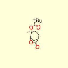 CC(C)(C)C(=O)OC1(C)CCC2CC1OC2=O